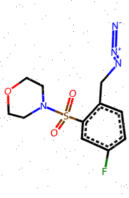 [N-]=[N+]=NCc1ccc(F)cc1S(=O)(=O)N1CCOCC1